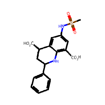 CS(=O)(=O)Nc1cc(C(=O)O)c2c(c1)C(C(=O)O)CC(c1ccccc1)N2